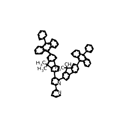 CC1(C)c2cc(-c3ccc(-c4ccccn4)nc3-c3ccc4c(c3)C(C)(C)c3cc(-c5c6ccccc6c(-c6ccccc6)c6ccccc56)ccc3-4)ccc2-c2ccc(-c3c4ccccc4c(-c4ccccc4)c4ccccc34)cc21